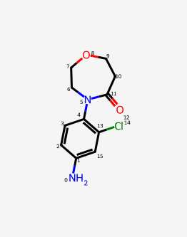 Nc1ccc(N2CCOCCC2=O)c(Cl)c1